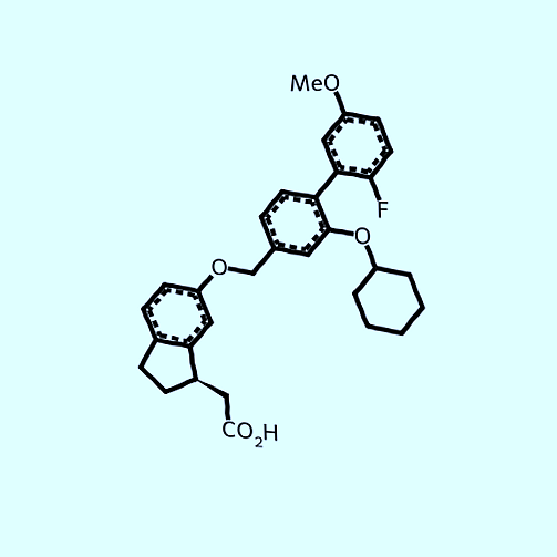 COc1ccc(F)c(-c2ccc(COc3ccc4c(c3)[C@@H](CC(=O)O)CC4)cc2OC2CCCCC2)c1